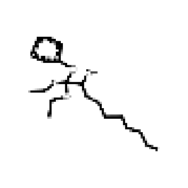 CCCCCCCCC(O)C(OCC)(OCC)Oc1ccccc1